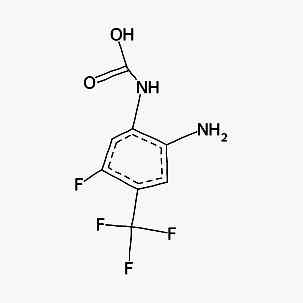 Nc1cc(C(F)(F)F)c(F)cc1NC(=O)O